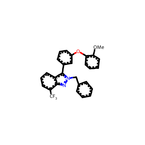 COc1ccccc1Oc1cccc(-c2c3cccc(C(F)(F)F)c3nn2Cc2ccccc2)c1